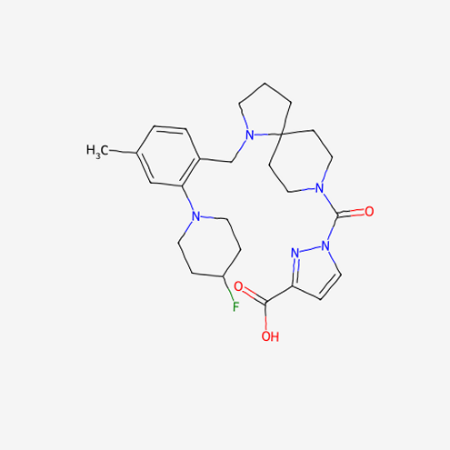 Cc1ccc(CN2CCCC23CCN(C(=O)n2ccc(C(=O)O)n2)CC3)c(N2CCC(F)CC2)c1